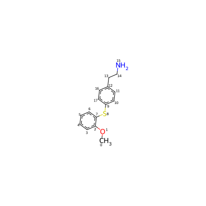 COc1ccccc1Sc1ccc(CCN)cc1